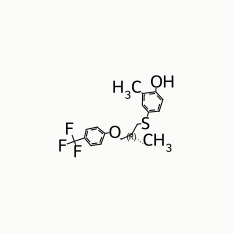 CC[C@H](COc1ccc(C(F)(F)F)cc1)CSc1ccc(O)c(C)c1